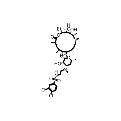 CC[C@H]1OC(=O)[C@H](C)C[C@H](C)[C@@H](O[C@@H]2O[C@H](C)C[C@H](N(C)CCNS(=O)(=O)c3ccc(Cl)c(Cl)c3)[C@H]2O)[C@](C)(O)C[C@@H](C)CN(C)[C@H](C)[C@@H](O)[C@]1(C)O